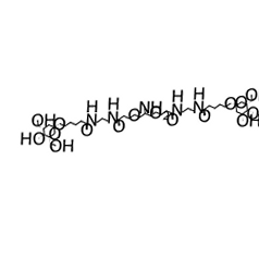 NC(COCCC(=O)NCCCNC(=O)CCCCO[C@H]1C[C@@H](CO)[C@@H](O)[C@@H](CO)O1)COCCC(=O)NCCCNC(=O)CCCCO[C@H]1C[C@@H](O)[C@@H](O)[C@@H](CO)O1